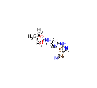 CC(C)(C)OC(=O)NCc1ccc(Nc2ncc(SC#N)s2)nc1